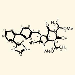 CCCc1nc2c(c(=O)n(C(C)OC)c(=O)n2C(C)OC)n1Cc1ccc(-c2ccccc2-c2nnn[nH]2)cc1